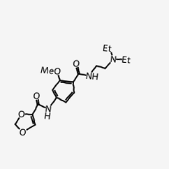 CCN(CC)CCNC(=O)c1ccc(NC(=O)C2=COCO2)cc1OC